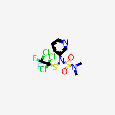 CN(C)S(=O)(=O)N(SC(Cl)(Cl)C(F)(F)Cl)c1cccnc1